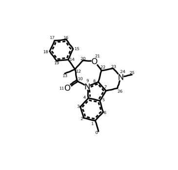 Cc1ccc2c(c1)c1c3n2C(=O)C(C)(c2ccccc2)COC3CN(C)C1